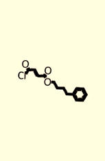 O=C(Cl)C=CC(=O)OCCCCc1ccccc1